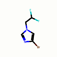 FC(F)Cn1cnc(Br)c1